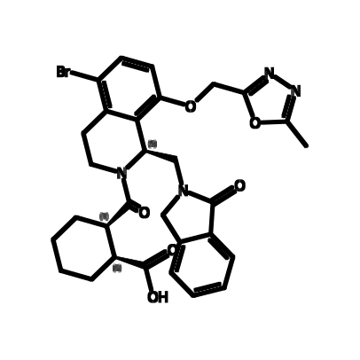 Cc1nnc(COc2ccc(Br)c3c2[C@@H](CN2Cc4ccccc4C2=O)N(C(=O)[C@@H]2CCCC[C@@H]2C(=O)O)CC3)o1